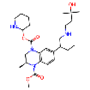 CCC(CNCCC(C)(C)O)c1ccc2c(c1)N(C(=O)OC1CCCCN1)C[C@H](C)N2C(=O)OC